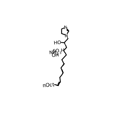 CCCCCCCC/C=C\CCCCCCCCC(O)CN1C=NCC1.N.O=S(=O)(O)O